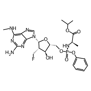 CNc1nc(N)nc2c1ncn2[C@@H]1O[C@H](CO[P@](=O)(N[C@H](C)C(=O)OC(C)C)Oc2ccccc2)[C@@H](O)[C@@H]1CF